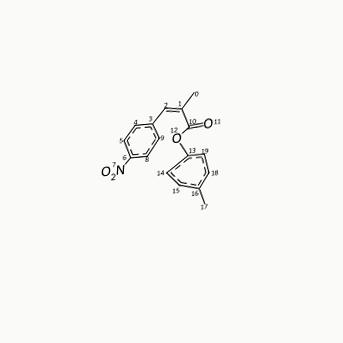 CC(=Cc1ccc([N+](=O)[O-])cc1)C(=O)Oc1ccc(C)cc1